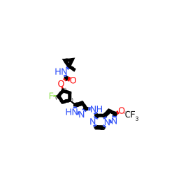 CC1(NC(=O)O[C@H]2C[C@@H](c3cc(Nc4nccn5nc(OC(F)(F)F)cc45)n[nH]3)C[C@H]2F)CC1